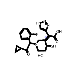 Cl.O=C(O)/C(=C1/CN(C(C(=O)C2CC2)c2ccccc2F)CCC1S)c1c[nH]nn1